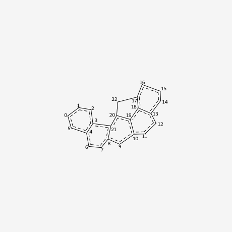 c1ccc2c(c1)ccc1cc3ccc4cccc5c4c3c(c12)C5